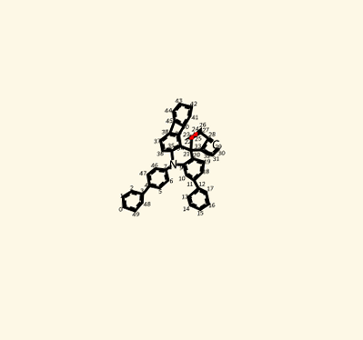 c1ccc(-c2ccc(N3c4cc(-c5ccccc5)ccc4C4(c5ccccc5-c5ccccc54)c4c3ccc3c4-c4ccccc4-3)cc2)cc1